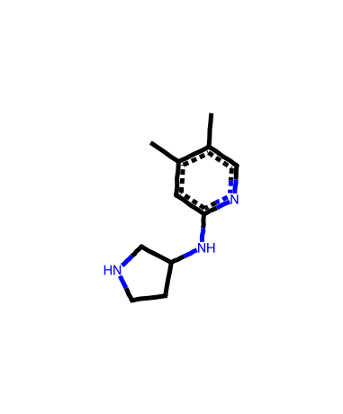 Cc1cnc(NC2CCNC2)cc1C